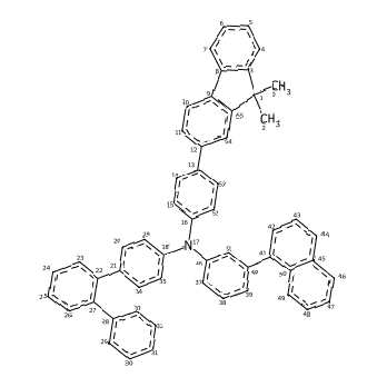 CC1(C)c2ccccc2-c2ccc(-c3ccc(N(c4ccc(-c5ccccc5-c5ccccc5)cc4)c4cccc(-c5cccc6ccccc56)c4)cc3)cc21